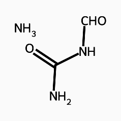 N.NC(=O)NC=O